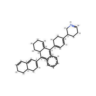 C1=CC2=CC(C3=c4ccccc4=C(C4=CC=C(C5CCC=NC5)CC4)C4=CCCCC43)=CCC2CC1